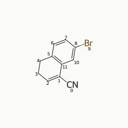 N#CC1=CCCc2ccc(Br)cc21